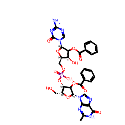 Cc1nc2c(ncn2[C@@H]2O[C@H](CO)[C@H](OP(=O)(O)OC[C@H]3O[C@@H](n4cnc(N)nc4=O)C(OC(=O)c4ccccc4)[C@H]3O)C2OC(=O)c2ccccc2)c(=O)[nH]1